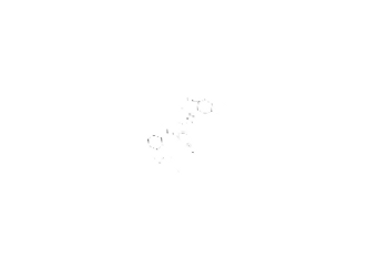 C#C[C@@H]1C[C@H](C(=O)N[C@@H](c2cc(F)c(Cl)cc2F)C2(O)CC2)N(C(=O)c2cccc(S(C)(=O)=O)c2)C1